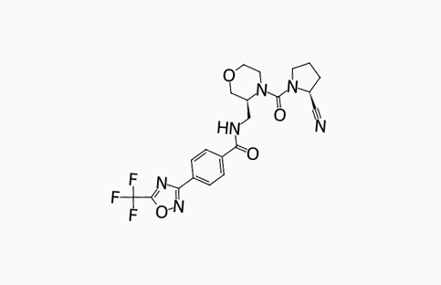 N#C[C@@H]1CCCN1C(=O)N1CCOC[C@@H]1CNC(=O)c1ccc(-c2noc(C(F)(F)F)n2)cc1